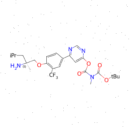 CC(C)C[C@](C)(N)COc1ccc(-c2cc(OC(=O)N(C)C(=O)OC(C)(C)C)ncn2)cc1C(F)(F)F